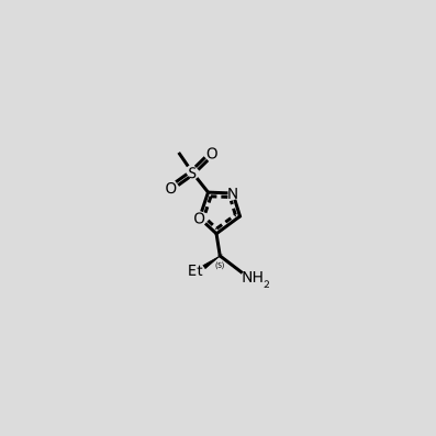 CC[C@H](N)c1cnc(S(C)(=O)=O)o1